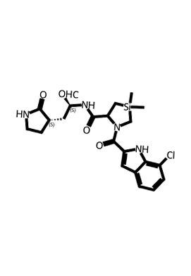 C[Si]1(C)CC(C(=O)N[C@H](C=O)C[C@@H]2CCNC2=O)N(C(=O)c2cc3cccc(Cl)c3[nH]2)C1